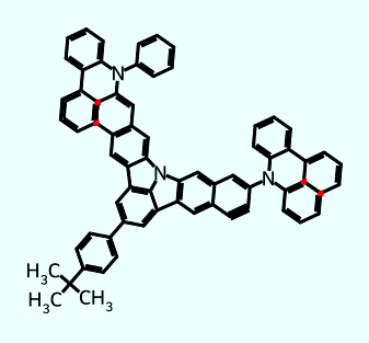 CC(C)(C)c1ccc(-c2cc3c4cc5c(cc4n4c6cc7cc(N(c8ccccc8)c8ccccc8C8=CC=CCC8)c#cc7cc6c(c2)c34)C=C(N(c2ccccc2)c2ccccc2C2=C=C=CC=C2)CC5)cc1